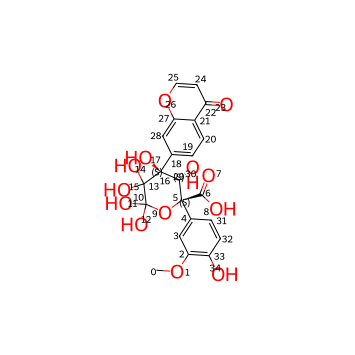 COc1cc([C@]2(C(=O)O)OC(O)(O)C(O)(O)[C@](O)(c3ccc4c(=O)ccoc4c3)[C@@H]2O)ccc1O